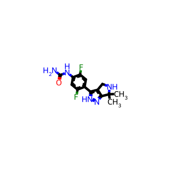 CC1(C)NCc2c1n[nH]c2-c1cc(F)c(NC(N)=O)cc1F